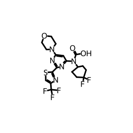 O=C(O)N(c1cc(N2CCOCC2)nc(-c2nc(C(F)(F)F)cs2)n1)C1CCC(F)(F)CC1